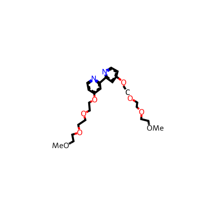 COCCOCCOCCOc1ccnc(-c2cc(OCCOCCOCCOC)ccn2)c1